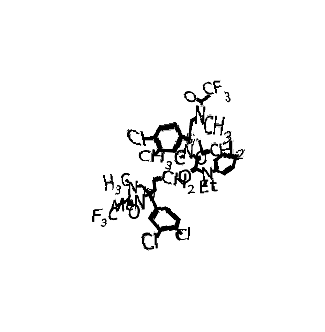 C=CC[C@@](CN(C)C(=O)CC(F)(F)F)(c1ccc(Cl)c(Cl)c1)N(C)C(=O)C(=O)N(CC)c1ccccc1.C=CC[C@](CN(C)C(=O)CC(F)(F)F)(NC)c1ccc(Cl)c(Cl)c1